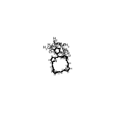 C[N+](C)(C)c1cc(-c2c3nc(cc4ccc(cc5nc(cc6ccc2[nH]6)C=C5)[nH]4)C=C3)c([N+](C)(C)C)c([N+](C)(C)C)c1[N+](C)(C)C